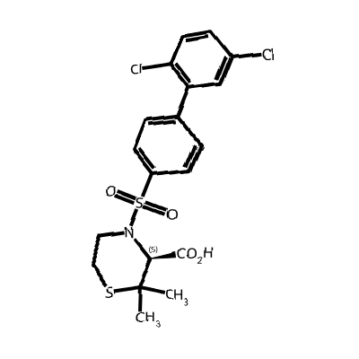 CC1(C)SCCN(S(=O)(=O)c2ccc(-c3cc(Cl)ccc3Cl)cc2)[C@H]1C(=O)O